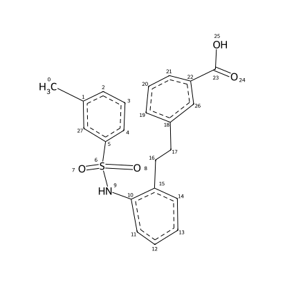 Cc1cccc(S(=O)(=O)Nc2ccccc2CCc2cccc(C(=O)O)c2)c1